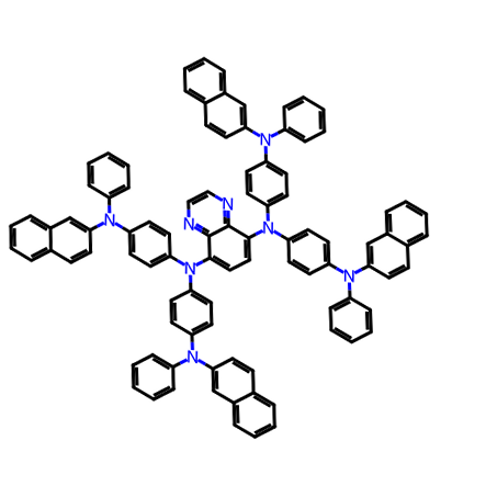 c1ccc(N(c2ccc(N(c3ccc(N(c4ccccc4)c4ccc5ccccc5c4)cc3)c3ccc(N(c4ccc(N(c5ccccc5)c5ccc6ccccc6c5)cc4)c4ccc(N(c5ccccc5)c5ccc6ccccc6c5)cc4)c4nccnc34)cc2)c2ccc3ccccc3c2)cc1